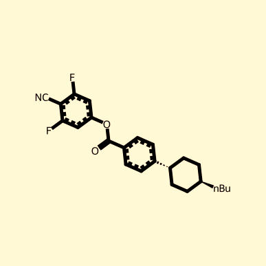 CCCC[C@H]1CC[C@H](c2ccc(C(=O)Oc3cc(F)c(C#N)c(F)c3)cc2)CC1